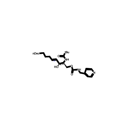 CCCCCCCCCCCCC/C=C/[C@@H](O)[C@H](COC(=O)NCc1ccncc1)NC(=O)C(C)(C)C